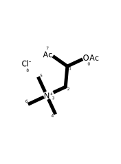 CC(=O)OC(C[N+](C)(C)C)C(C)=O.[Cl-]